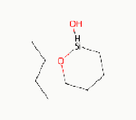 CCCC.O[SiH]1CCCCO1